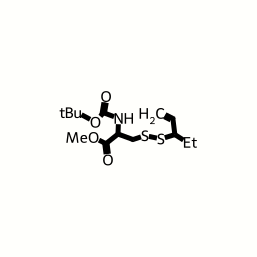 C=CC(CC)SSCC(NC(=O)OC(C)(C)C)C(=O)OC